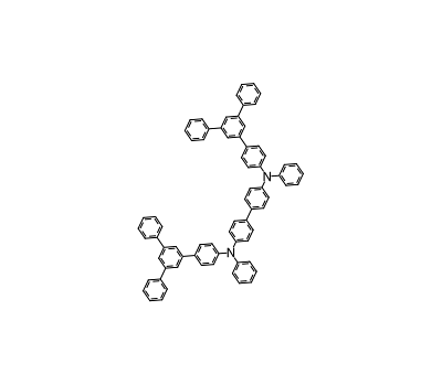 c1ccc(-c2cc(-c3ccccc3)cc(-c3ccc(N(c4ccccc4)c4ccc(-c5ccc(N(c6ccccc6)c6ccc(-c7cc(-c8ccccc8)cc(-c8ccccc8)c7)cc6)cc5)cc4)cc3)c2)cc1